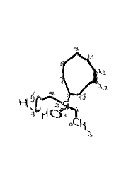 CC[Si](O)(CC)C1CCCCCCC1